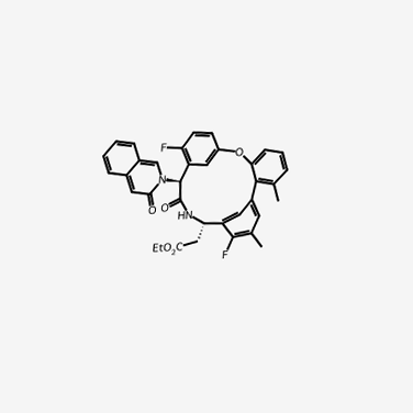 CCOC(=O)C[C@@H]1NC(=O)[C@@H](n2cc3ccccc3cc2=O)c2cc(ccc2F)Oc2cccc(C)c2-c2cc(C)c(F)c1c2